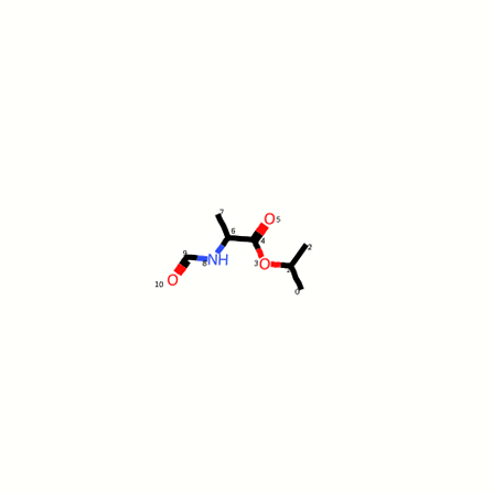 CC(C)OC(=O)C(C)NC=O